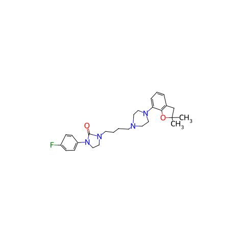 CC1(C)Cc2cccc(N3CCN(CCCCN4CCN(c5ccc(F)cc5)C4=O)CC3)c2O1